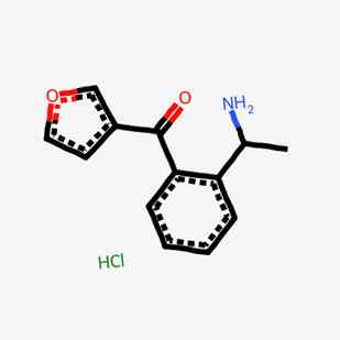 CC(N)c1ccccc1C(=O)c1ccoc1.Cl